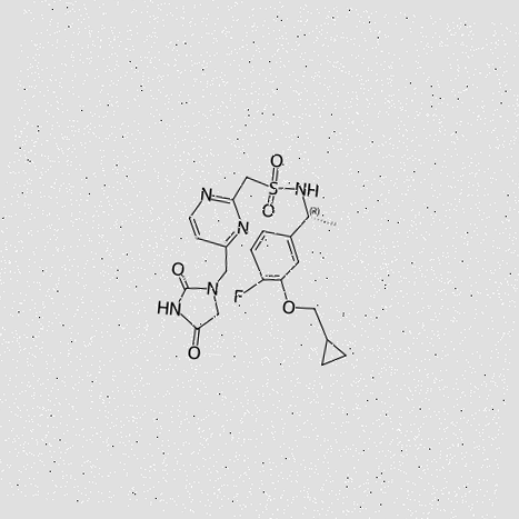 C[C@@H](NS(=O)(=O)Cc1nccc(CN2CC(=O)NC2=O)n1)c1ccc(F)c(OCC2CC2)c1